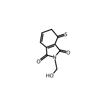 O=C1C2=C(C(=O)N1CO)C(=S)CC=C2